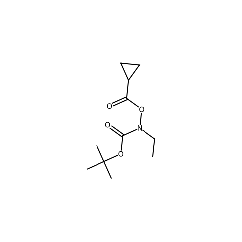 CCN(OC(=O)C1CC1)C(=O)OC(C)(C)C